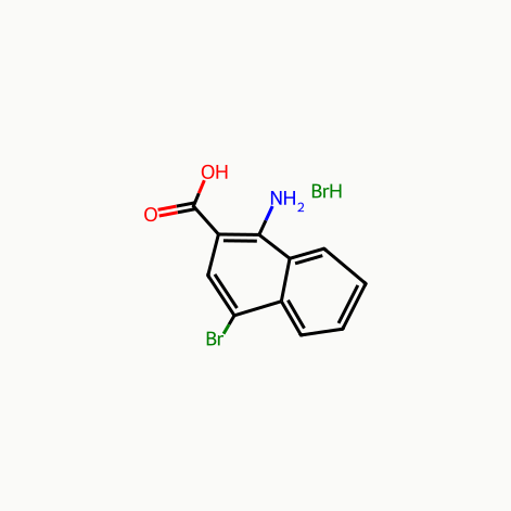 Br.Nc1c(C(=O)O)cc(Br)c2ccccc12